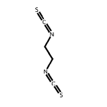 S=C=NCCN=C=S